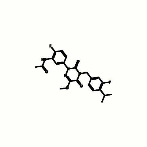 COc1nn(-c2ccc(F)c(NC(C)=O)c2)c(=O)n(Cc2ccc(C(C)C)c(F)c2)c1=O